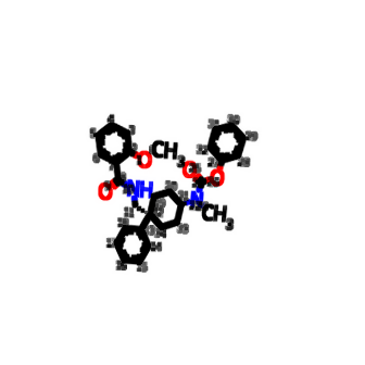 COc1ccccc1C(=O)NC[C@]1(c2ccccc2)CC[C@@H](N(C)C(=O)Oc2ccccc2)CC1